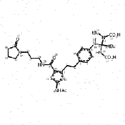 CC(=O)Nc1nc(CCc2ccc(NC(NC(=O)O)(N(C(=O)O)C(C)(C)C)C(C)(C)C)cc2)c(C(=O)NCCCN2CCCC2=O)s1